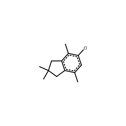 Cc1cc(Cl)c(C)c2c1CC(C)(C)C2